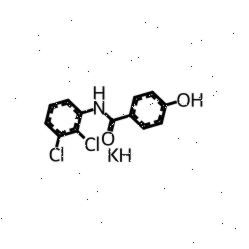 O=C(Nc1cccc(Cl)c1Cl)c1ccc(O)cc1.[KH]